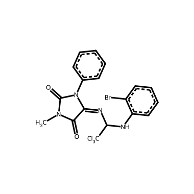 CN1C(=O)C(=NC(Nc2ccccc2Br)C(Cl)(Cl)Cl)N(c2ccccc2)C1=O